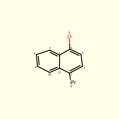 CC(C)c1ccc([O])c2ccccc12